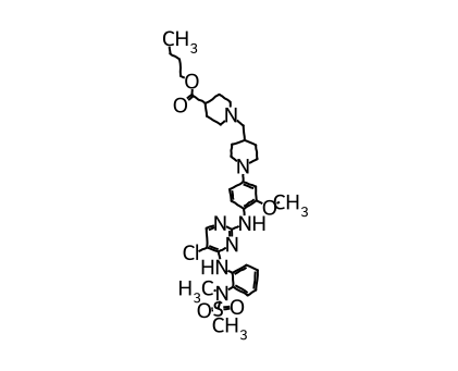 CCCCOC(=O)C1CCN(CC2CCN(c3ccc(Nc4ncc(Cl)c(Nc5ccccc5N(C)S(C)(=O)=O)n4)c(OC)c3)CC2)CC1